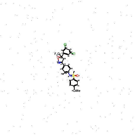 COc1ccc(S(C)(=O)=Nc2ccc(C3=NOC(c4cc(Cl)cc(Cl)c4)(C(F)(F)F)C3)cc2C)cc1